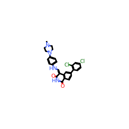 CN1CCN(c2ccc(NC=C3C(=O)NC(=O)c4ccc(-c5ccc(Cl)cc5Cl)cc43)cc2)CC1